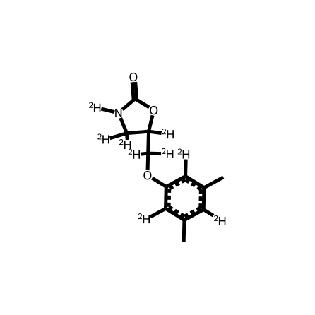 [2H]c1c(C)c([2H])c(OC([2H])([2H])C2([2H])OC(=O)N([2H])C2([2H])[2H])c([2H])c1C